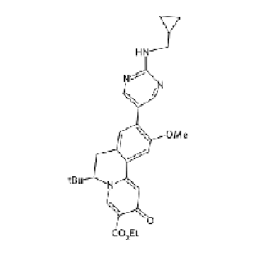 CCOC(=O)c1cn2c(cc1=O)-c1cc(OC)c(-c3cnc(NCC4CC4)nc3)cc1CC2C(C)(C)C